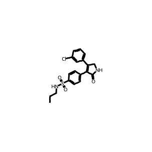 CCCNS(=O)(=O)c1ccc(C2=C(c3cccc(Cl)c3)CNC2=O)cc1